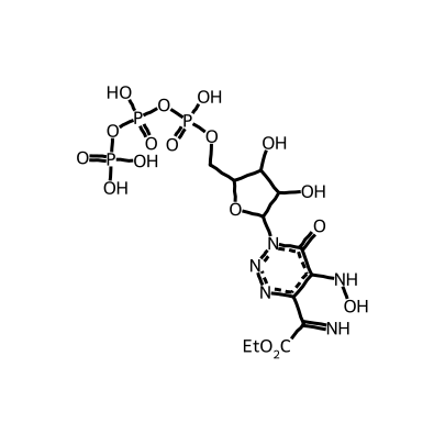 CCOC(=O)C(=N)c1nnn(C2OC(COP(=O)(O)OP(=O)(O)OP(=O)(O)O)C(O)C2O)c(=O)c1NO